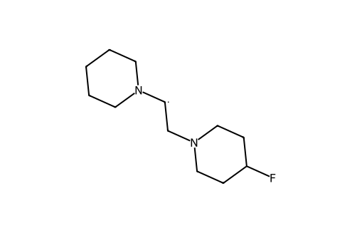 FC1CCN(C[CH]N2CCCCC2)CC1